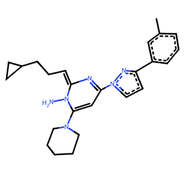 Cc1cccc(-c2ccn(C3=N/C(=C/CCC4CC4)N(N)C(N4CCCCC4)=C3)n2)c1